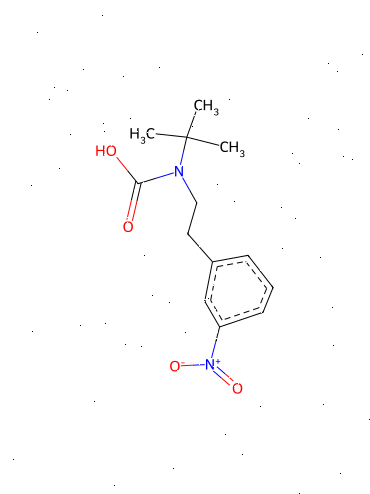 CC(C)(C)N(CCc1cccc([N+](=O)[O-])c1)C(=O)O